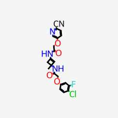 CC1(NC(=O)COc2ccc(Cl)c(F)c2)C=C(NC(=O)COc2ccc(C#N)nc2)C1